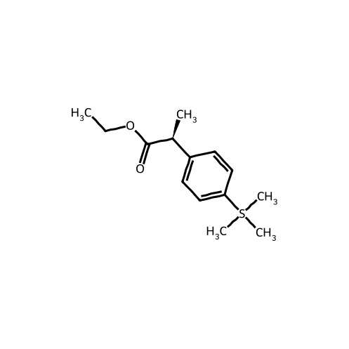 CCOC(=O)[C@@H](C)c1ccc(S(C)(C)C)cc1